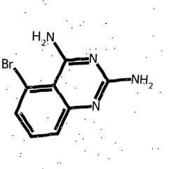 Nc1nc(N)c2c(Br)cccc2n1